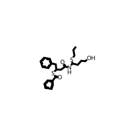 CCCSC(CCCO)NC(=O)CC(Cc1ccccc1)SC(=O)c1ccccc1